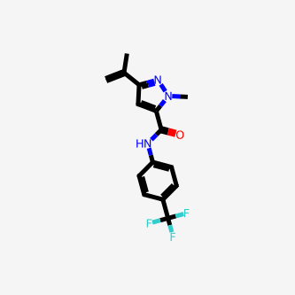 C=C(C)c1cc(C(=O)Nc2ccc(C(F)(F)F)cc2)n(C)n1